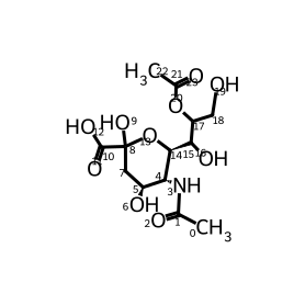 CC(=O)N[C@@H]1[C@@H](O)CC(O)(C(=O)O)O[C@H]1C(O)C(CO)OC(C)=O